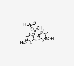 CC(OP(O)O)C(c1ccc(O)cc1)c1ccc(O)cc1